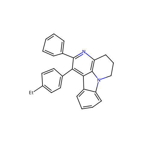 CCc1ccc(-c2c(-c3ccccc3)nc3c4c2c2ccccc2n4CCC3)cc1